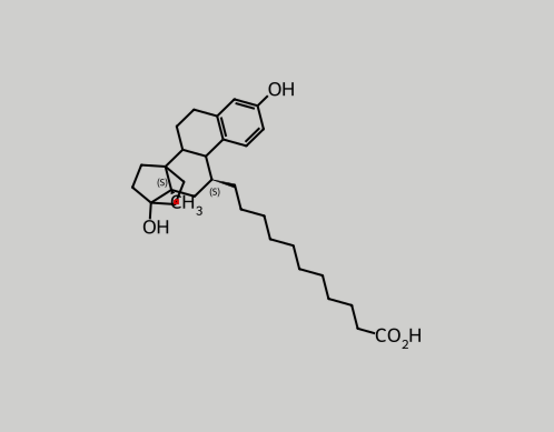 C[C@]12C[C@H](CCCCCCCCCCC(=O)O)C3c4ccc(O)cc4CCC3C13CCC2(O)CC3